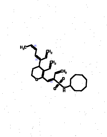 C=CC1=C(/C=C(\C=C)S(=O)(=O)NC2CCCCCCC2)OCCC1/C(C=C)=C/C=C\C